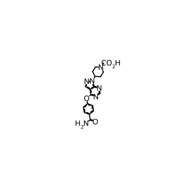 NC(=O)c1ccc(Oc2ncnc3c2cnn3C2CCN(C(=O)O)CC2)cc1